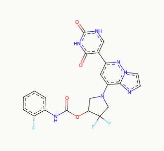 O=C(Nc1ccccc1F)OC1CN(c2cc(-c3c[nH]c(=O)[nH]c3=O)nn3ccnc23)CC1(F)F